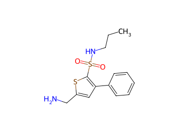 CCCNS(=O)(=O)c1sc(CN)cc1-c1ccccc1